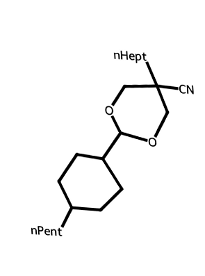 CCCCCCCC1(C#N)COC(C2CCC(CCCCC)CC2)OC1